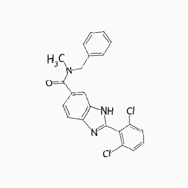 CN(Cc1ccccc1)C(=O)c1ccc2nc(-c3c(Cl)cccc3Cl)[nH]c2c1